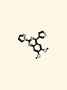 COc1cc2nc(-n3cccn3)nc(-c3ccsc3)c2cc1OC